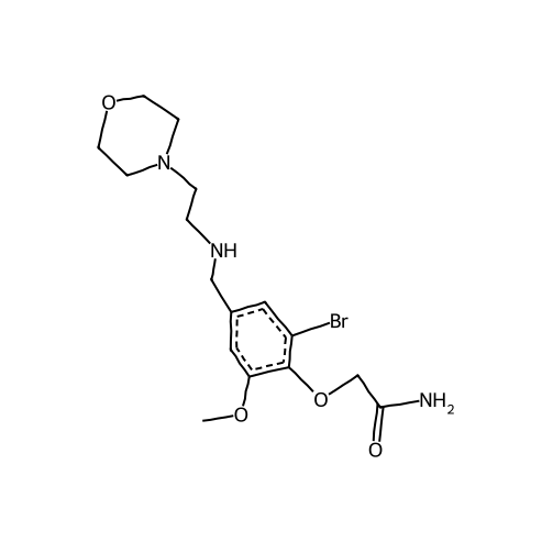 COc1cc(CNCCN2CCOCC2)cc(Br)c1OCC(N)=O